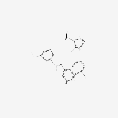 COc1cccc(NCc2cc(=O)[nH]c3c(F)cccc23)c1.Cc1ncsc1C(=O)O